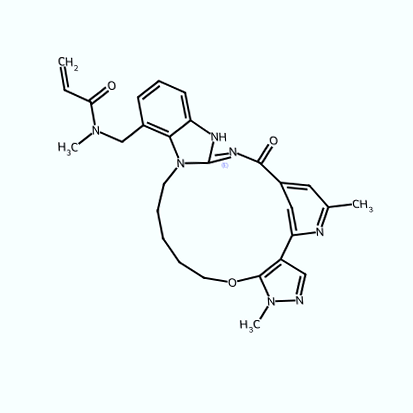 C=CC(=O)N(C)Cc1cccc2c1N1CCCCCOc3c(cnn3C)-c3cc(cc(C)n3)C(=O)/N=C/1N2